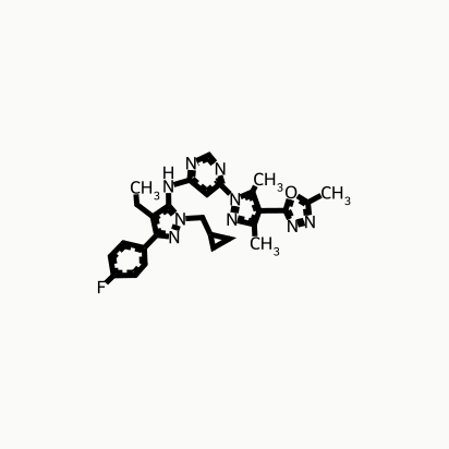 CCc1c(-c2ccc(F)cc2)nn(CC2CC2)c1Nc1cc(-n2nc(C)c(-c3nnc(C)o3)c2C)ncn1